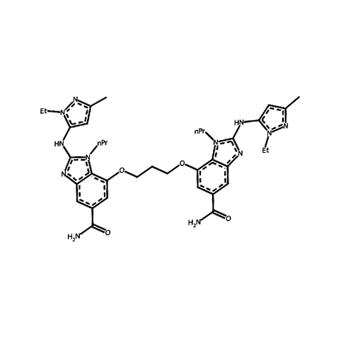 CCCn1c(Nc2cc(C)nn2CC)nc2cc(C(N)=O)cc(OCCCOc3cc(C(N)=O)cc4nc(Nc5cc(C)nn5CC)n(CCC)c34)c21